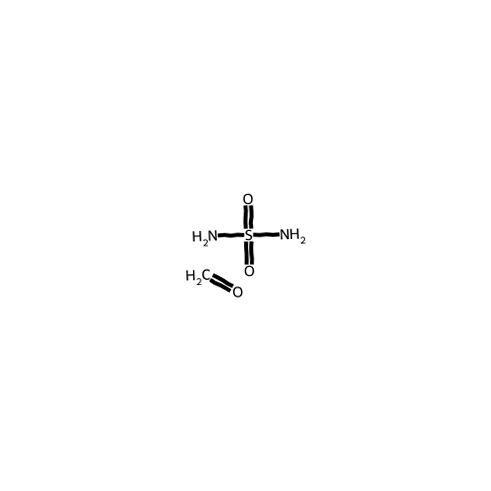 C=O.NS(N)(=O)=O